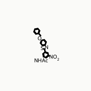 CC(=O)Nc1ccc(-c2nc3ccc(OCc4ccccc4)cc3s2)cc1[N+](=O)[O-]